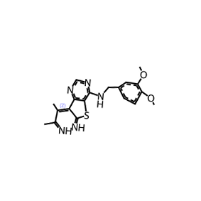 COc1ccc(CNc2ncnc3c2SC(=N)/C3=C(/C)C(C)=N)cc1OC